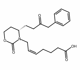 O=C(O)CCC/C=C\CN1C(=O)OCC[C@@H]1CCC(=O)Cc1ccccc1